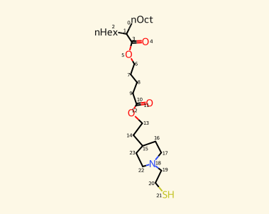 CCCCCCCCC(CCCCCC)C(=O)OCCCCC(=O)OCCC1CCN(CCS)CC1